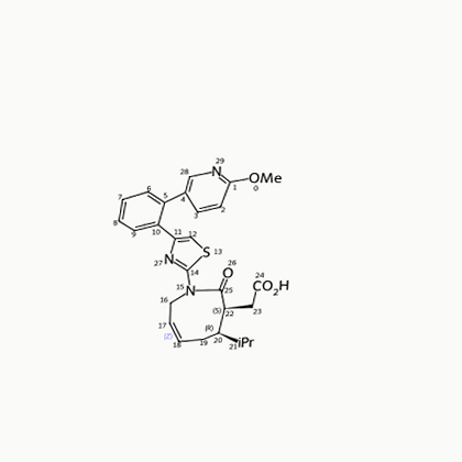 COc1ccc(-c2ccccc2-c2csc(N3C/C=C\C[C@H](C(C)C)[C@H](CC(=O)O)C3=O)n2)cn1